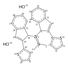 C[Si](C)=[Zr]([CH]1C(c2cccs2)=Cc2ccccc21)[CH]1C(c2cccs2)=Cc2ccccc21.Cl.Cl